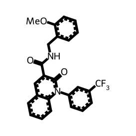 COc1ccccc1CNC(=O)c1cc2ccccc2n(-c2cccc(C(F)(F)F)c2)c1=O